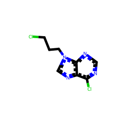 ClCCCn1cnc2c(Cl)ncnc21